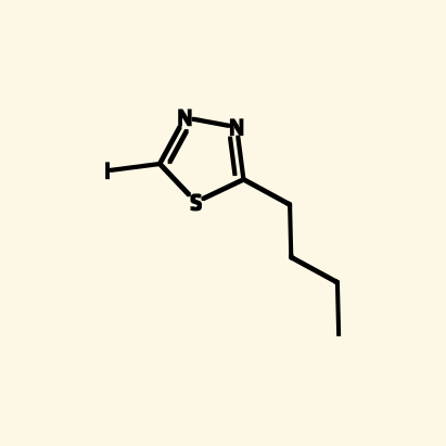 CCCCc1nnc(I)s1